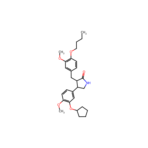 CCCCOc1ccc(CC2C(=O)NCC2c2ccc(OC)c(OC3CCCC3)c2)cc1OC